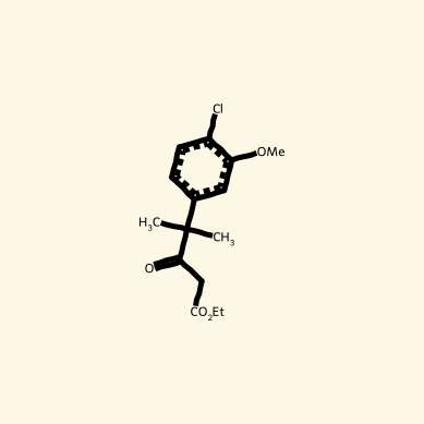 CCOC(=O)CC(=O)C(C)(C)c1ccc(Cl)c(OC)c1